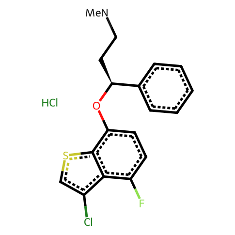 CNCC[C@H](Oc1ccc(F)c2c(Cl)csc12)c1ccccc1.Cl